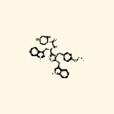 COc1ccc(Cn2c(Cc3c[nH]c4ccccc34)nnc2[C@@H](Cc2c[nH]c3ccccc23)NC(=O)[C@@H]2CCNCN2)cc1